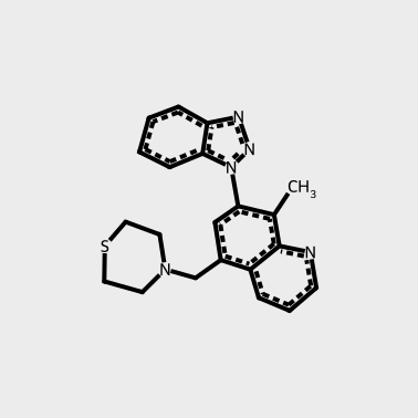 Cc1c(-n2nnc3ccccc32)cc(CN2CCSCC2)c2cccnc12